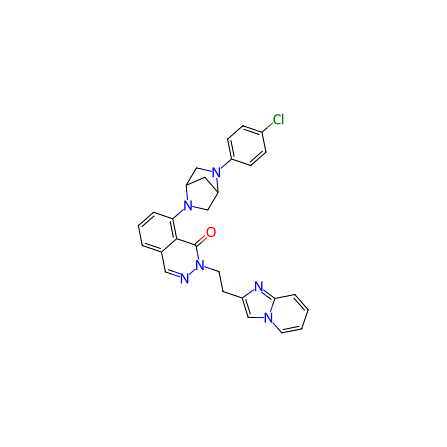 O=c1c2c(N3CC4CC3CN4c3ccc(Cl)cc3)cccc2cnn1CCc1cn2ccccc2n1